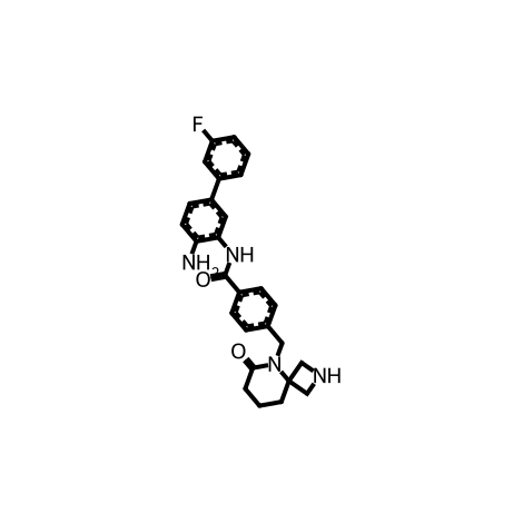 Nc1ccc(-c2cccc(F)c2)cc1NC(=O)c1ccc(CN2C(=O)CCCC23CNC3)cc1